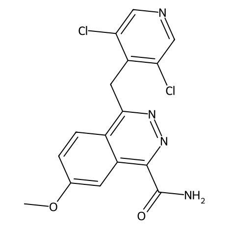 COc1ccc2c(Cc3c(Cl)cncc3Cl)nnc(C(N)=O)c2c1